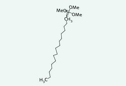 CCCCCCCCCCCCCCCCC.CO[Si](F)(OC)OC